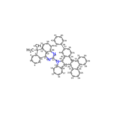 CC1(C)c2ccccc2-c2nc(-n3c4ccccc4c4c5c6ccccc6c6ccccc6c5c5ccc(-c6ccccc6)cc5c43)nc3cccc1c23